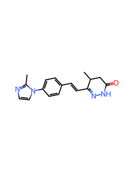 Cc1nccn1-c1ccc(C=CC2=NNC(=O)CC2C)cc1